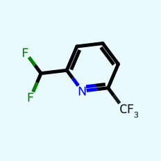 FC(F)c1cccc(C(F)(F)F)n1